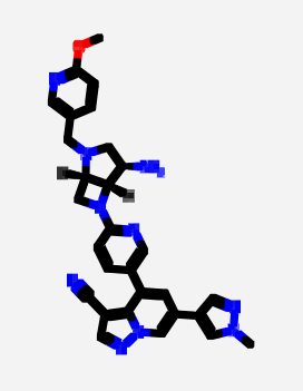 COc1ccc(CN2C[C@@H](N)[C@H]3[C@@H]2CN3c2ccc(-c3cc(-c4cnn(C)c4)cn4ncc(C#N)c34)cn2)cn1